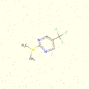 C[SH](C)c1ncc(C(F)(F)F)cn1